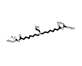 CCCCCCCC(CCCCCC)OC(=O)CCCCCCCN(CCO)CCCCCCCC(=O)O[C@H](C)CCCCC